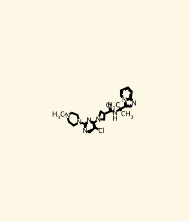 CN1CCN(c2ncc(Cl)c(N3CC(C(=O)NC(C)(C)c4cnc5ccccn45)C3)n2)CC1